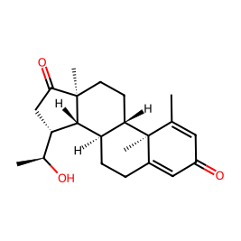 CC1=CC(=O)C=C2CC[C@H]3[C@@H]4[C@H]([C@H](C)O)CC(=O)[C@@]4(C)CC[C@@H]3[C@@]12C